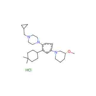 CO[C@@H]1CCCN(c2ccc(N3CCN(CC4CC4)CC3)c(C3CCC(C)(C)CC3)c2)C1.Cl